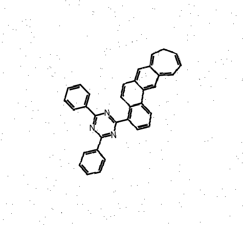 C1=CCC=c2cc3ccc4c(-c5nc(-c6ccccc6)nc(-c6ccccc6)n5)cccc4c3cc2=C1